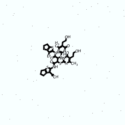 C#Cc1c(NC(=O)C(Sc2nc(C)c(CCO)c(=O)[nH]2)C(Sc2nc(C)c(CCO)c(=O)[nH]2)C(=O)Nc2sc3c(c2CC)CCC3)sc2c1CCC2